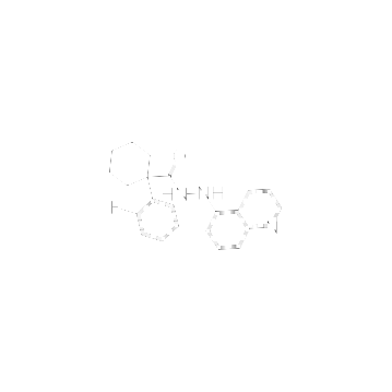 O=C(NNc1cccc2ncccc12)C1(c2ccccc2F)CCCCC1